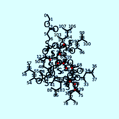 CCOC(=O)CCSP(=S)(OC(C)CSP(=S)(OC(C)CSP(=O)(OC(C)CC(C)C)OC(C)CC(C)C)OC(C)CSP(=S)(OC(C)CC(C)C)OC(C)CC(C)C)OC(C)CSP(=S)(OC(C)CSP(=S)(OC(C)CC(C)C)OC(C)CC(C)C)OC(C)CSP(=S)(OC(C)CC(C)C)OC(C)CC(C)C